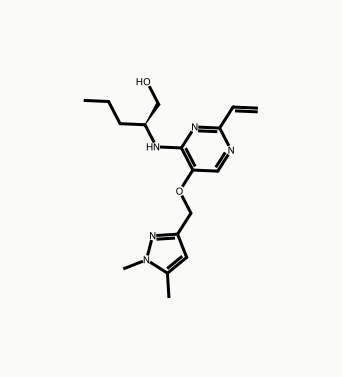 C=Cc1ncc(OCc2cc(C)n(C)n2)c(N[C@H](CO)CCC)n1